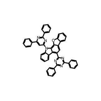 c1ccc(-c2cc(-n3c4ccccc4c4c(-c5nc(-c6ccccc6)nc(-c6ccccc6)n5)cc5c6ccccc6oc5c43)nc(-c3ccccc3)n2)cc1